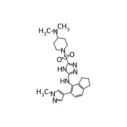 CN(C)C1CCN(S(=O)(=O)c2nnc(Nc3c(-c4cnn(C)c4)ccc4c3CCC4)[nH]2)CC1